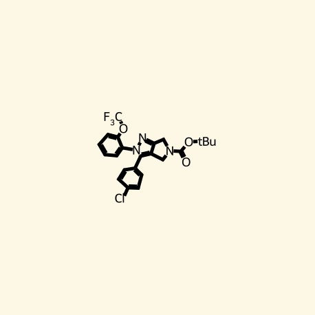 CC(C)(C)OC(=O)N1Cc2nn(-c3ccccc3OC(F)(F)F)c(-c3ccc(Cl)cc3)c2C1